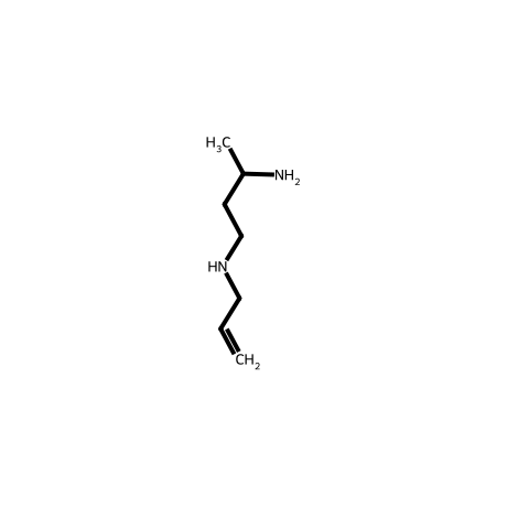 C=CCNCCC(C)N